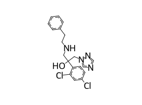 OC(CNCCc1ccccc1)(Cn1cncn1)c1ccc(Cl)cc1Cl